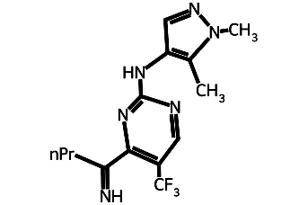 CCCC(=N)c1nc(Nc2cnn(C)c2C)ncc1C(F)(F)F